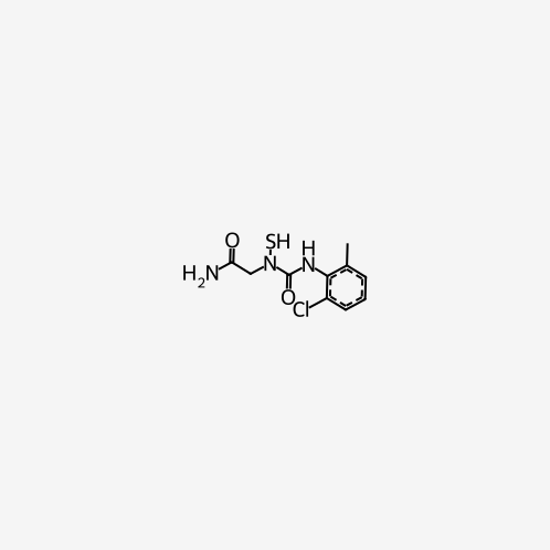 Cc1cccc(Cl)c1NC(=O)N(S)CC(N)=O